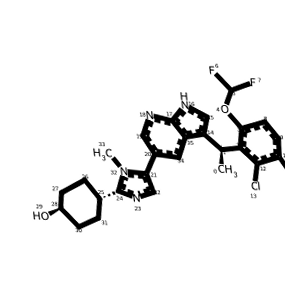 C[C@H](c1c(OC(F)F)ccc(F)c1Cl)c1c[nH]c2ncc(-c3cnc([C@H]4CC[C@H](O)CC4)n3C)cc12